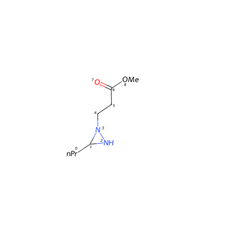 CCCC1NN1CCC(=O)OC